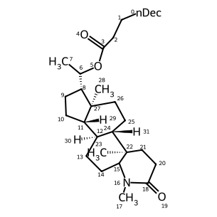 CCCCCCCCCCCCC(=O)OC(C)[C@H]1CC[C@H]2[C@@H]3CCC4N(C)C(=O)CC[C@]4(C)[C@H]3CC[C@]12C